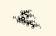 CC(=O)c1cccc(C(=O)[O-])c1O.NC(=O)CCC(N)C(=O)[O-].NC(=O)CCC(N)C(=O)[O-].[Al+3]